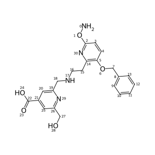 NOc1ccc(OCc2ccccc2)c(CCNCc2cc(C(=O)O)cc(CO)n2)n1